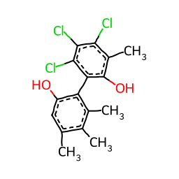 Cc1cc(O)c(-c2c(O)c(C)c(Cl)c(Cl)c2Cl)c(C)c1C